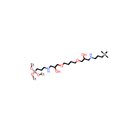 CCO[Si](CCCNCC(O)COCCCCOCC(O)CNCCC[Si](C)(C)C)(OCC)OCC